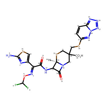 Nc1nc(C(=NOC(F)F)C(=O)NC2C(=O)N3CC(CSc4ccc5nnnn5n4)(C(=O)O)CS[C@H]23)cs1